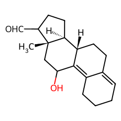 C[C@]12CC(O)C3=C4CCCC=C4CC[C@H]3[C@@H]1CCC2C=O